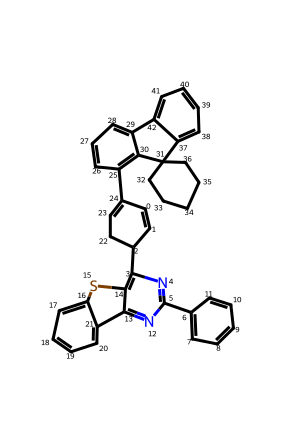 C1=CC(c2nc(-c3ccccc3)nc3c2sc2ccccc23)CC=C1c1cccc2c1C1(CCCCC1)c1ccccc1-2